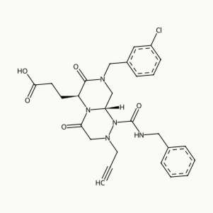 C#CCN1CC(=O)N2[C@@H](CCC(=O)O)C(=O)N(Cc3cccc(Cl)c3)C[C@@H]2N1C(=O)NCc1ccccc1